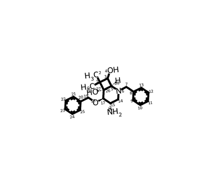 CC1(C)C(O)[C@H]2N(Cc3ccccc3)C[C@H](N)[C@@H](OCc3ccccc3)[C@]21O